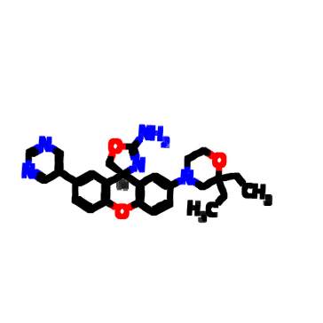 CCC1(CC)CN(c2ccc3c(c2)[C@]2(COC(N)=N2)c2cc(-c4cncnc4)ccc2O3)CCO1